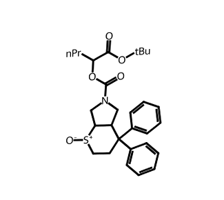 CCCC(OC(=O)N1CC2C(C1)C(c1ccccc1)(c1ccccc1)CC[S+]2[O-])C(=O)OC(C)(C)C